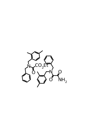 CCOC(=O)C(=O)N(Cc1ccccc1)Cc1ccc(C)cc1C.Cc1ccc(CN(Cc2ccccc2)C(=O)C(N)=O)c(C)c1